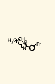 CC(C)c1cccc(-c2cnc(CN(C)C)cn2)c1